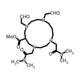 COC(=O)C1CN(CC=O)CCN(CC=O)CCCN(CC(=O)N(C)C)CCN(CC(=O)N(C)C)C1